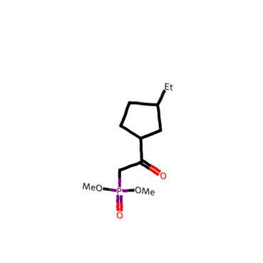 CCC1CCC(C(=O)CP(=O)(OC)OC)C1